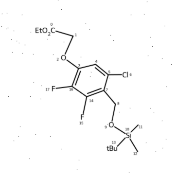 CCOC(=O)COc1cc(Cl)c(CO[Si](C)(C)C(C)(C)C)c(F)c1F